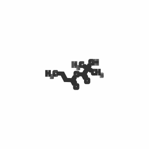 CCCC(=O)OC(=O)C(C)(C)O